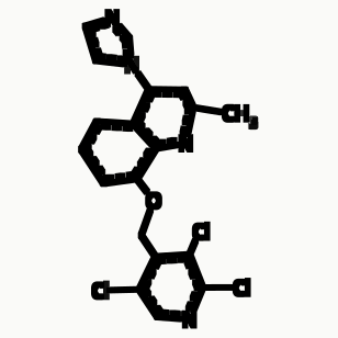 Cc1cc(-n2ccnc2)c2cccc(OCc3c(Cl)cnc(Cl)c3Cl)c2n1